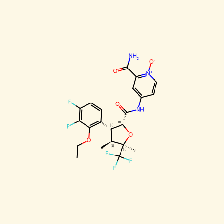 CCOc1c([C@@H]2[C@H](C(=O)Nc3cc[n+]([O-])c(C(N)=O)c3)O[C@@](C)(C(F)(F)F)[C@H]2C)ccc(F)c1F